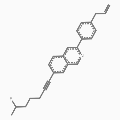 C=CCc1ccc(-c2cc3ccc(C#CCCCC(C)F)cc3cn2)cc1